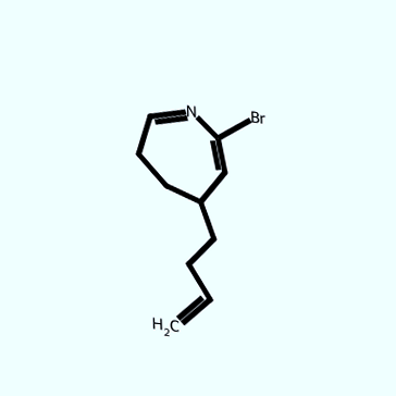 C=CCCC1C=C(Br)N=CCC1